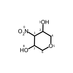 O=[N+]([O-])C1C(O)COCC1O